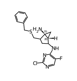 N[C@@]12C[C@@H]1C(Nc1nc(Cl)ncc1F)CC2CSCc1ccccc1